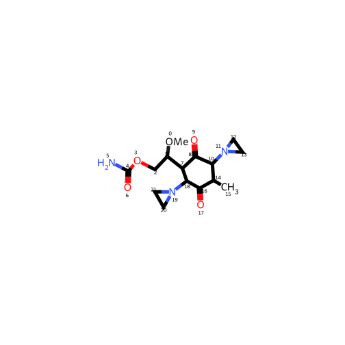 COC(COC(N)=O)C1C(=O)C(N2CC2)C(C)C(=O)C1N1CC1